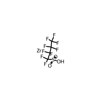 O=S(=O)(O)C(F)(F)C(F)(F)C(F)(F)C(F)(F)F.[Zr]